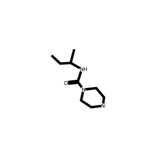 CCC(C)NC(=O)N1CC[N]CC1